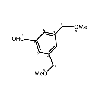 COCc1cc(C=O)cc(COC)c1